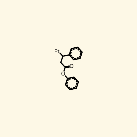 CCC(CC(=O)Oc1ccccc1)c1ccccc1